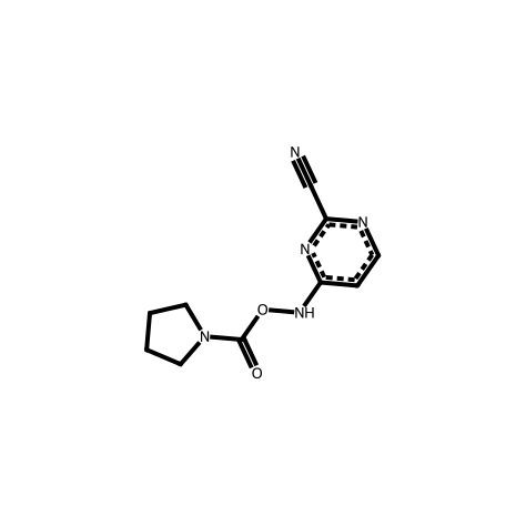 N#Cc1nccc(NOC(=O)N2CCCC2)n1